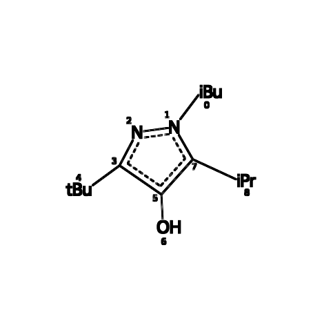 CCC(C)n1nc(C(C)(C)C)c(O)c1C(C)C